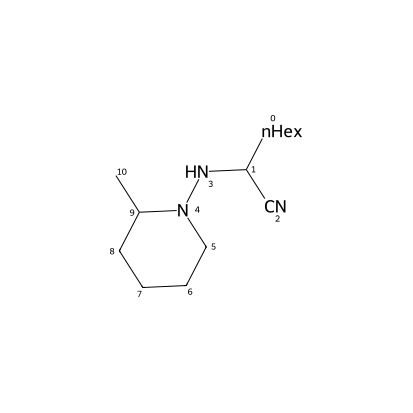 CCCCCCC(C#N)NN1CCCCC1C